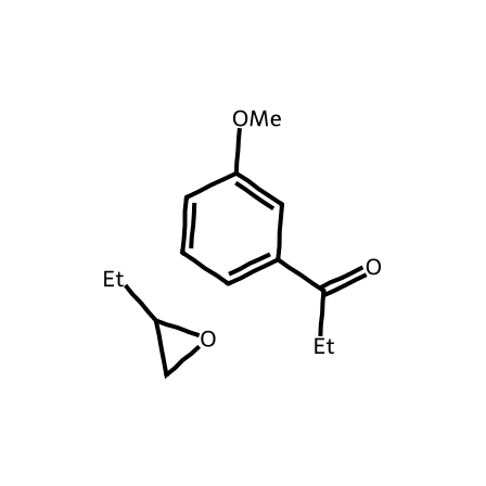 CCC(=O)c1cccc(OC)c1.CCC1CO1